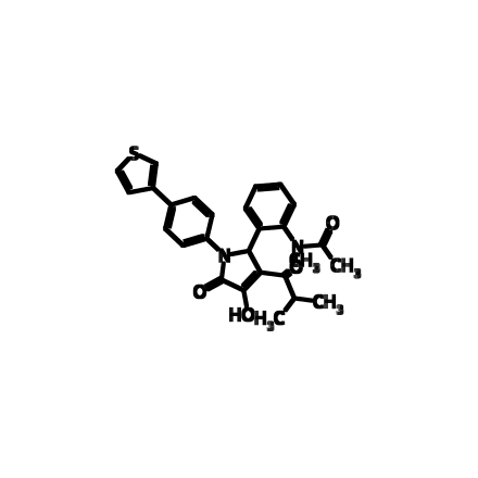 CC(=O)N(C)c1ccccc1C1C(C(=O)C(C)C)=C(O)C(=O)N1c1ccc(-c2ccsc2)cc1